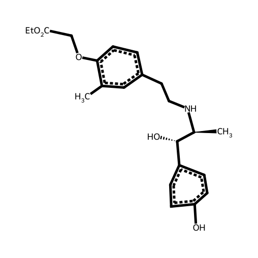 CCOC(=O)COc1ccc(CCN[C@@H](C)[C@@H](O)c2ccc(O)cc2)cc1C